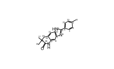 Cc1ccc(-c2nc3cc4c(cc3[nH]2)CC(C)(C)C(=O)N4)cc1